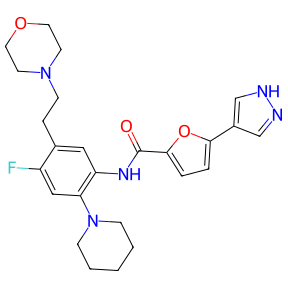 O=C(Nc1cc(CCN2CCOCC2)c(F)cc1N1CCCCC1)c1ccc(-c2cn[nH]c2)o1